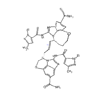 CCn1nc(C)cc1C(=O)Nc1nc2cc(C(N)=O)cc3c2n1C(/C=C/C[C@H]1COc2cc(C(N)=O)cc4nc(NC(=O)c5cc(C)nn5CC)n1c24)CCCO3